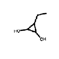 CCC1C(O)C1O